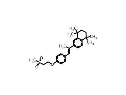 CC(=Cc1ccc(OCCS(C)(=O)=O)cc1)c1ccc2c(c1)C(C)(C)CCC2(C)C